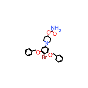 NC(=O)OC1CCN(c2cc(OCc3ccccc3)c(Br)c(OCc3ccccc3)c2)CC1